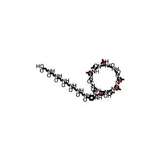 CC[C@@H]1NC(=O)[C@H]([C@H](O)[C@H](C)Cc2nc3cc(C(=O)NCCC(=O)NCCC(=O)NCCC(=O)NCCC(=O)NCCC(=O)NCCC(=O)O)ccc3[nH]2)N(C)C(=O)[C@H](C(C)C)N(C)C(=O)[C@H](CC(C)C)N(C)C(=O)[C@H](CC(C)C)N(C)C(=O)[C@@H](C)NC(=O)[C@H](C)NC(=O)[C@H](CC(C)C)N(C)C(=O)[C@H](C(C)C)NC(=O)[C@H](CC(C)C)N(C)C(=O)CN(C)C1=O